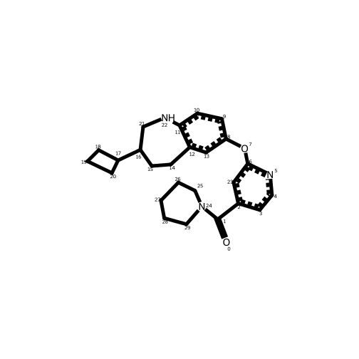 O=C(c1ccnc(Oc2ccc3c(c2)CCC(C2CCC2)CN3)c1)N1CCCCC1